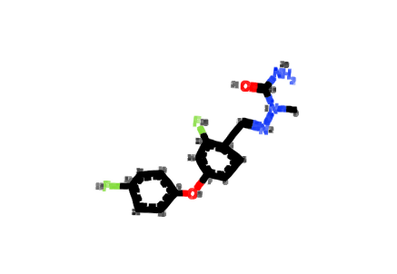 CN(N=Cc1ccc(Oc2ccc(F)cc2)cc1F)C(N)=O